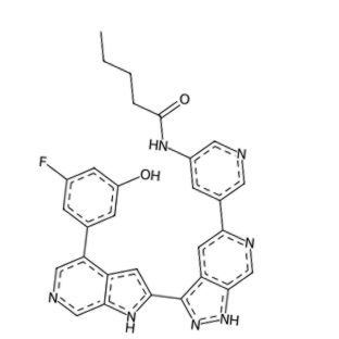 CCCCC(=O)Nc1cncc(-c2cc3c(-c4cc5c(-c6cc(O)cc(F)c6)cncc5[nH]4)n[nH]c3cn2)c1